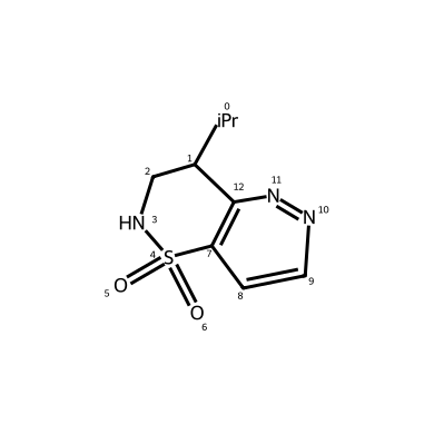 CC(C)C1CNS(=O)(=O)c2ccnnc21